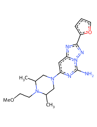 COCCN1C(C)CN(c2cc3nc(-c4ccco4)nn3c(N)n2)CC1C